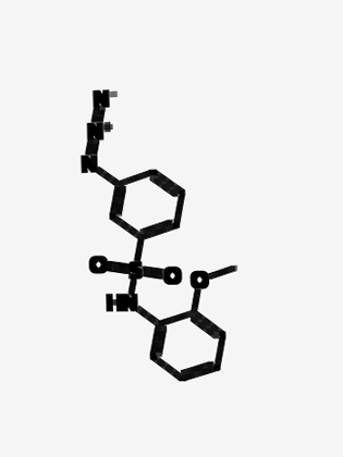 COc1ccccc1NS(=O)(=O)c1cccc(N=[N+]=[N-])c1